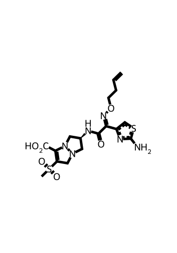 C=CCCON=C(C(=O)N[C@H]1CN2CC(S(C)(=O)=O)=C(C(=O)O)N2C1)c1csc(N)n1